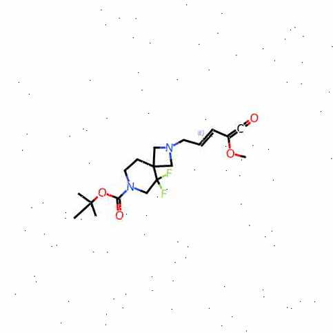 COC(=C=O)/C=C/CN1CC2(CCN(C(=O)OC(C)(C)C)CC2(F)F)C1